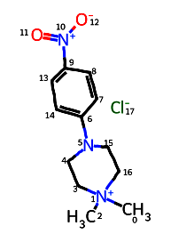 C[N+]1(C)CCN(c2ccc([N+](=O)[O-])cc2)CC1.[Cl-]